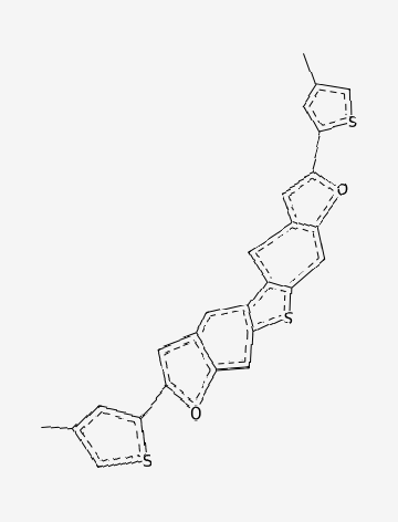 Cc1csc(-c2cc3cc4c(cc3o2)sc2cc3oc(-c5cc(C)cs5)cc3cc24)c1